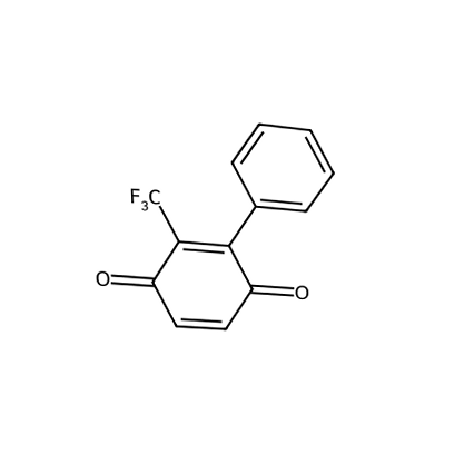 O=C1C=CC(=O)C(C(F)(F)F)=C1c1ccccc1